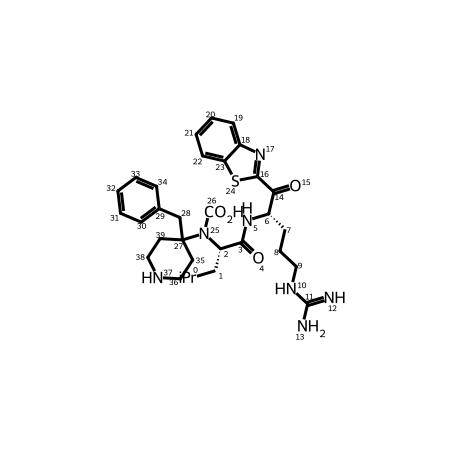 CC(C)C[C@@H](C(=O)N[C@@H](CCCNC(=N)N)C(=O)c1nc2ccccc2s1)N(C(=O)O)C1(Cc2ccccc2)CCNCC1